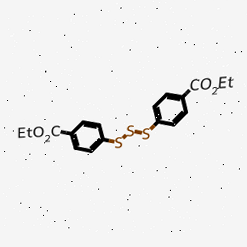 CCOC(=O)c1ccc(SSSc2ccc(C(=O)OCC)cc2)cc1